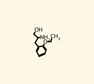 CCOc1ccccc1CC(N)CO